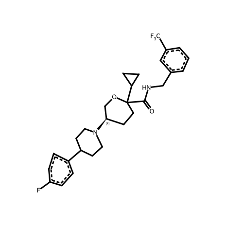 O=C(NCc1cccc(C(F)(F)F)c1)C1(C2CC2)CC[C@@H](N2CCC(c3ccc(F)cc3)CC2)CO1